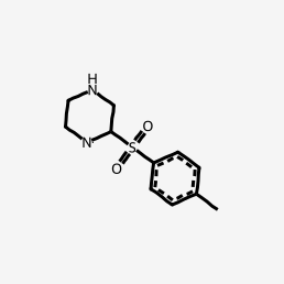 Cc1ccc(S(=O)(=O)C2CNCC[N]2)cc1